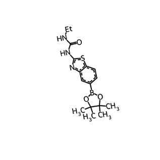 CCNC(=O)Nc1nc2cc(B3OC(C)(C)C(C)(C)O3)ccc2s1